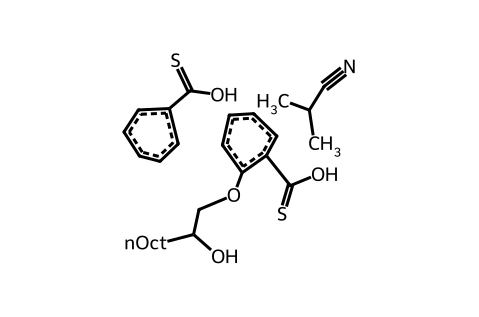 CC(C)C#N.CCCCCCCCC(O)COc1ccccc1C(O)=S.OC(=S)c1ccccc1